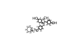 CC1c2cc(O)ccc2N(Cc2ccc(OCCN3CCCCCC3)cc2)C1c1ccc(O)cc1